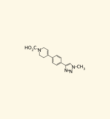 Cn1cc(-c2ccc(C3=CCN(C(=O)O)CC3)cc2)nn1